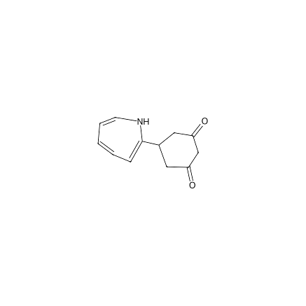 O=C1CC(=O)CC(C2=CC=CC=CN2)C1